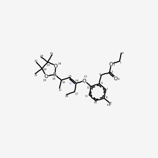 CCOC(=O)Cc1cc(F)ccc1O/C(=C/C(C)B1OC(C)(C)C(C)(C)O1)CC